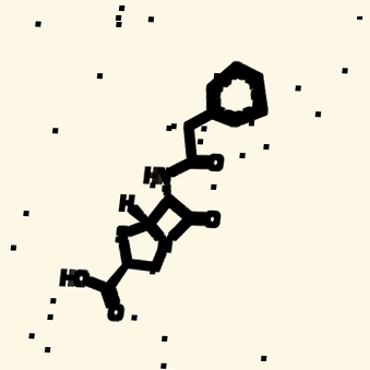 O=C(Cc1ccccc1)N[C@@H]1C(=O)N2C[C@@H](C(=O)O)S[C@H]12